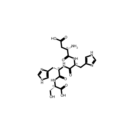 N[C@@H](CC(=O)O)C(=O)N[C@@H](Cc1c[nH]cn1)C(=O)N[C@@H](Cc1c[nH]cn1)C(=O)N[C@@H](CO)C(=O)O